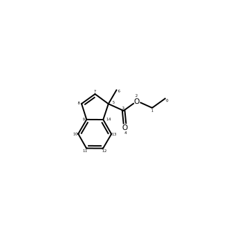 CCOC(=O)C1(C)C=Cc2ccccc21